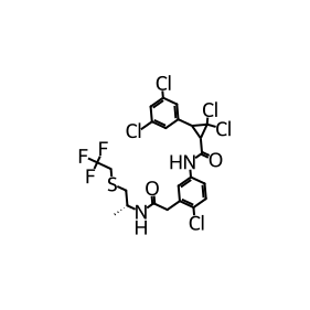 C[C@H](CSCC(F)(F)F)NC(=O)Cc1cc(NC(=O)C2C(c3cc(Cl)cc(Cl)c3)C2(Cl)Cl)ccc1Cl